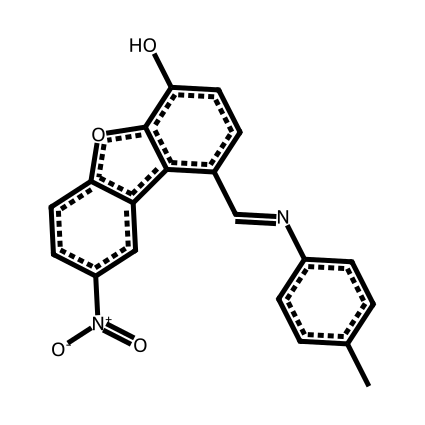 Cc1ccc(/N=C/c2ccc(O)c3oc4ccc([N+](=O)[O-])cc4c23)cc1